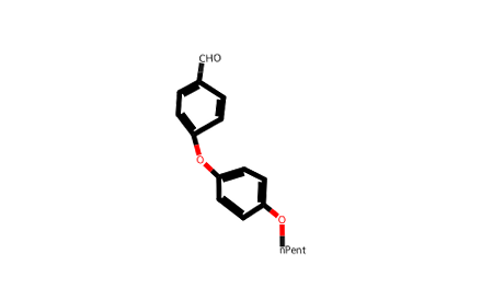 CCCCCOc1ccc(Oc2ccc(C=O)cc2)cc1